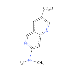 CCOC(=O)c1cnc2cc(N(C)C)ncc2c1